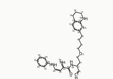 C=CC(CCOCCCCc1ccc2c(n1)NCCC2)NC(=O)C(=N)/C=C\Nc1ccccc1